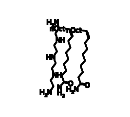 CCCCCCCC/C=C\CCCCCCCC(N)=O.CCCCCCCC/C=C\CCCCCCCC(N)=O.NCCNCCNCCNCCN